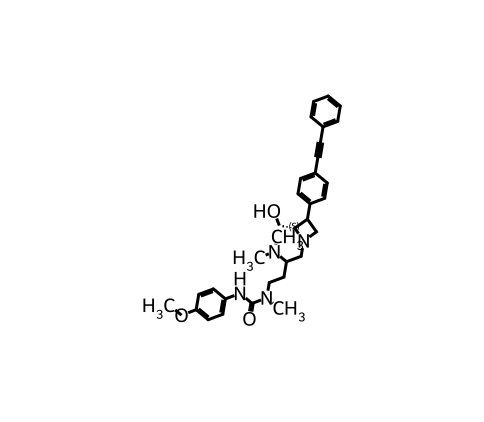 COc1ccc(NC(=O)N(C)CCC(CN2CC(c3ccc(C#Cc4ccccc4)cc3)[C@H]2CO)N(C)C)cc1